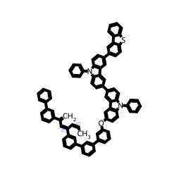 C=C(/C=C(\C=C/C)c1cccc(-c2cccc(-c3cccc(Oc4ccc5c(c4)c4cc(-c6ccc7c(c6)c6cc(-c8ccc9sc%10ccccc%10c9c8)ccc6n7-c6ccccc6)ccc4n5-c4ccccc4)c3)c2)c1)c1cccc(-c2ccccc2)c1